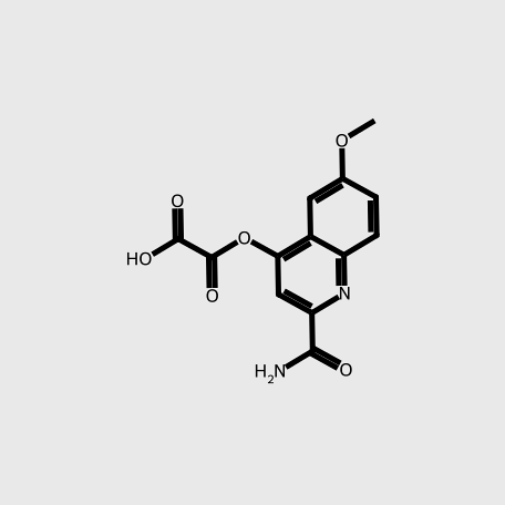 COc1ccc2nc(C(N)=O)cc(OC(=O)C(=O)O)c2c1